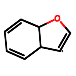 [C]1=COC2C=CC=CC12